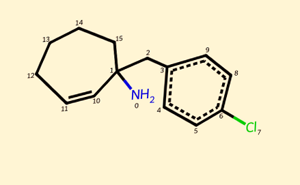 NC1(Cc2ccc(Cl)cc2)C=CCCCC1